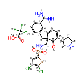 N=C(N)c1cccc(CC2(CNS(=O)(=O)c3cc(Cl)c(Cl)s3)C=CC=C([C@@H]3CCNC3)C2=O)c1.O=C(O)C(F)(F)F